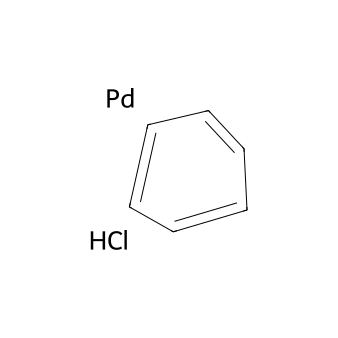 Cl.[Pd].c1ccccc1